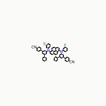 [C-]#[N+]c1ccc(-c2cc(-c3ccccc3)cc(N(c3cccc(F)c3)c3ccc4ccc5c(N(c6cccc(F)c6)c6cc(-c7ccccc7)cc(-c7ccc(C#N)cc7)c6)ccc6ccc3c4c65)c2)cc1